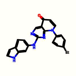 CCc1ccc(-n2ccc(=O)c3cnc(Nc4ccc5cc[nH]c5c4)nc32)cc1